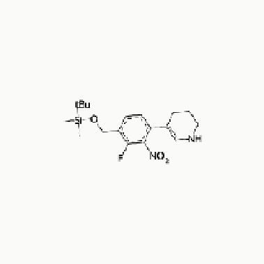 CC(C)(C)[Si](C)(C)OCc1ccc(C2=CNCCC2)c([N+](=O)[O-])c1F